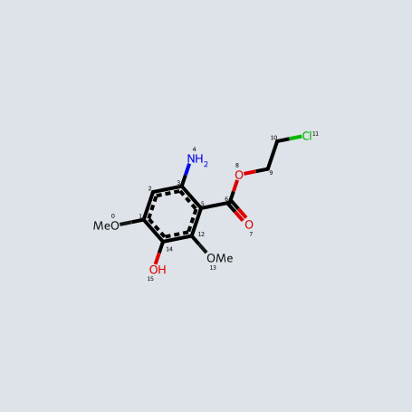 COc1cc(N)c(C(=O)OCCCl)c(OC)c1O